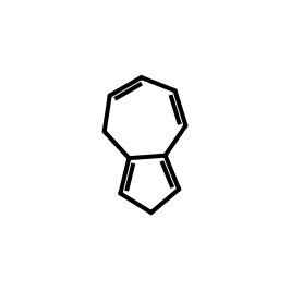 C1=CCC2=CCC=C2C=C1